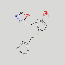 Oc1ccc(SCc2ccccc2)c(Cc2nnco2)c1